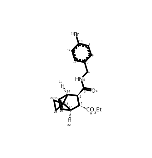 CCOC(=O)[C@H]1[C@H](C(=O)NCc2ccc(Br)cc2)[C@@H]2C=C[C@H]1C21CC1